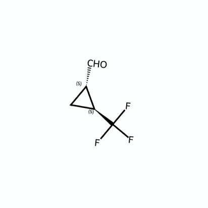 O=C[C@H]1C[C@@H]1C(F)(F)F